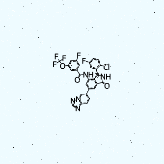 O=C(Nc1cc(-c2ccc3ncnn3c2)cc2c1[C@@H](c1cc(F)ccc1Cl)NC2=O)c1cc(F)cc(OC(F)(F)F)c1